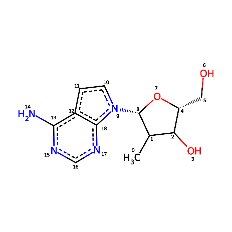 CC1C(O)[C@@H](CO)O[C@H]1n1ccc2c(N)ncnc21